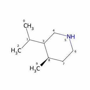 CC(C)C1CNCC[C@H]1C